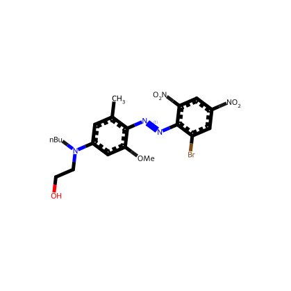 CCCCN(CCO)c1cc(C)c(/N=N/c2c(Br)cc([N+](=O)[O-])cc2[N+](=O)[O-])c(OC)c1